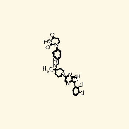 CC1(NCc2ccc(N3CCC(=O)NC3=O)cc2)CCN(c2cnc3c(-c4cccc(Cl)c4Cl)n[nH]c3n2)CC1